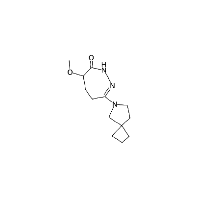 COC1CCC(N2CCC3(CCC3)C2)=NNC1=O